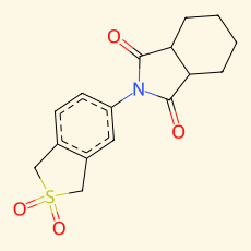 O=C1C2CCCCC2C(=O)N1c1ccc2c(c1)CS(=O)(=O)C2